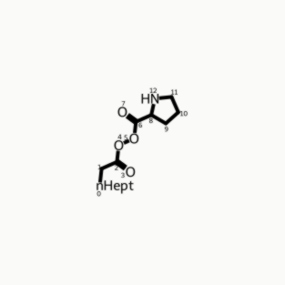 CCCCCCCCC(=O)OOC(=O)C1CCCN1